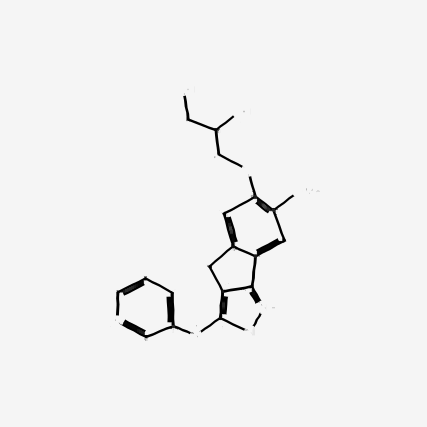 COc1cc2c(cc1OCC(O)CO)Cc1c-2n[nH]c1Nc1cccnc1